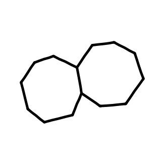 C1CCCC2CCCCCCC2CC1